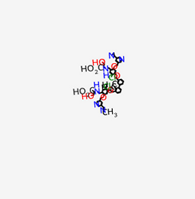 C/N=C/c1cncc(COc2cc(OCc3cccc(-c4cccc(COc5cc(OCc6cncc(C7=NC7)c6)c(CNC(CO)C(=O)O)cc5Cl)c4C)c3C)c(Cl)cc2CNC(CO)C(=O)O)c1